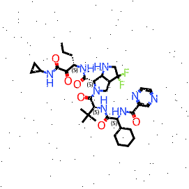 CCC[C@H](NC(=O)[C@@H]1C2NCC(F)(F)C2CN1C(=O)[C@@H](NC(=O)[C@@H](NC(=O)c1cnccn1)C1CCCCC1)C(C)(C)C)C(=O)C(=O)NC1CC1